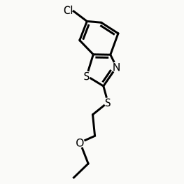 CCOCCSc1nc2ccc(Cl)cc2s1